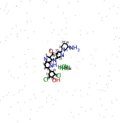 CCC(=O)c1cnc2ccc(-c3cc(Cl)c(O)c(Cl)c3)nc2c1Nc1ccc(N2CCCC(N)C2)nc1.Cl.Cl.Cl